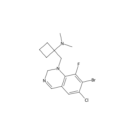 CN(C)C1(CN2CN=Cc3cc(Cl)c(Br)c(F)c32)CCC1